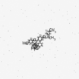 CC1=C(c2ccccc2S(=O)(=O)C(F)(F)F)C(c2ccc(OCC(C)N3CCC(C)C3)cc2)Oc2ccc(O)cc21